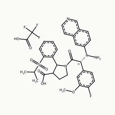 COc1cc([C@H](C(=O)N2CCC(C(=O)O)C2c2ccccc2S(=O)(=O)C(C)C)N(N)c2ccc3cnccc3c2)ccc1F.O=C(O)C(F)(F)F